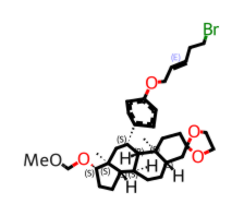 COCO[C@H]1CC[C@H]2[C@@H]3CC[C@H]4CC5(CC[C@]4(C)[C@H]3[C@@H](c3ccc(OC/C=C/CCBr)cc3)C[C@]12C)OCCO5